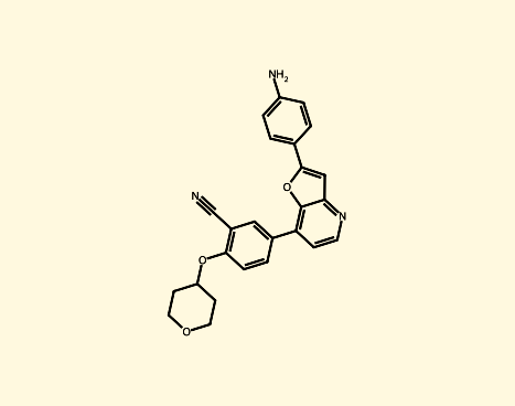 N#Cc1cc(-c2ccnc3cc(-c4ccc(N)cc4)oc23)ccc1OC1CCOCC1